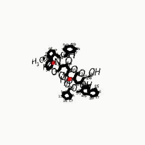 COc1ccc(O[C@@H]2O[C@H](COCc3ccccc3)[C@@H](O[C@@H]3O[C@H](CO)[C@@H](O)[C@H](OCc4ccc5ccccc5c4)[C@H]3O)[C@H](OCc3ccccc3)[C@H]2N2C(O)c3ccccc3C2O)cc1